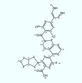 CN/C=C(\C=N)c1cc(Cl)c(C(=O)N2COc3c(cccc3-c3cc(N4CC5COCC5C4)c(C(=O)O)cc3F)C2)c(Cl)c1